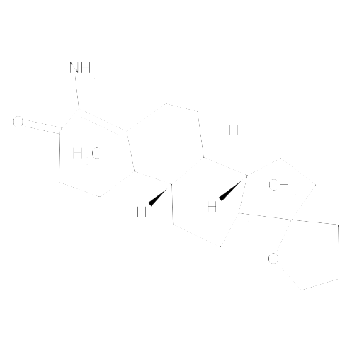 C[C@]12CCC(=O)C(N)=C1CC[C@@H]1[C@@H]2CC[C@@]2(C)[C@H]1CCC21CCCO1